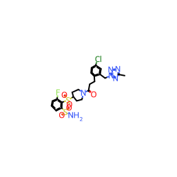 Cc1nnn(Cc2cc(Cl)ccc2CCC(=O)N2CCC(S(=O)(=O)c3c(F)cccc3S(N)(=O)=O)CC2)n1